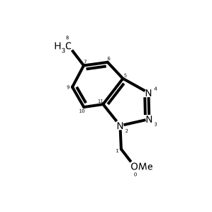 COCn1nnc2cc(C)ccc21